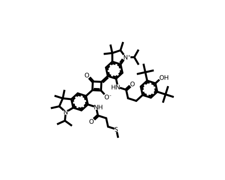 CSCCC(=O)Nc1cc2c(cc1C1=C([O-])/C(=c3/cc4c(cc3NC(=O)CCc3cc(C(C)(C)C)c(O)c(C(C)(C)C)c3)=[N+](C(C)C)C(C)C4(C)C)C1=O)C(C)(C)C(C)N2C(C)C